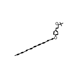 CC#CC#CC#CC#CC#CC#CC#CC#CC#COc1ccc(/C=C/C(=O)C(C)(C)C)cc1